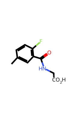 Cc1ccc(F)c(C(=O)NCC(=O)O)c1